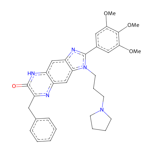 COc1cc(-c2nc3cc4[nH]c(=O)c(Cc5ccccc5)nc4cc3n2CCCN2CCCC2)cc(OC)c1OC